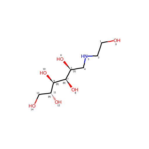 OCCNC[C@H](O)[C@@H](O)[C@H](O)[C@H](O)CO